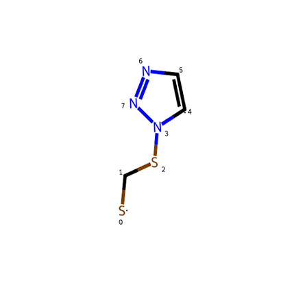 [S]CSn1[c]cnn1